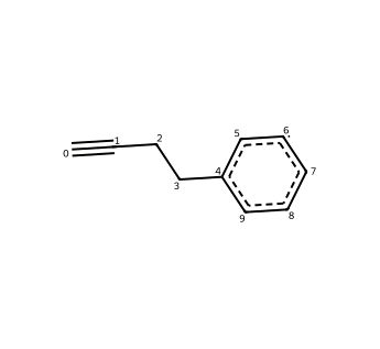 C#CCCc1c[c]ccc1